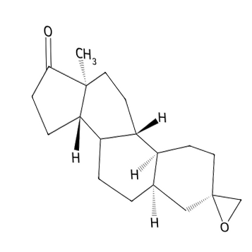 C[C@]12CC[C@H]3C(CC[C@@H]4C[C@]5(CC[C@@H]43)CO5)[C@@H]1CCC2=O